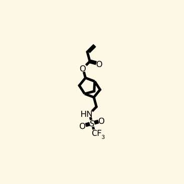 C=CC(=O)OC1CC2CC1CC2CNS(=O)(=O)C(F)(F)F